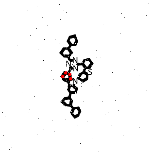 C1=c2sc3ccc(-n4c5ccccc5c5cc(-c6cccc(-c7ccccc7)c6)ccc54)cc3c2=C(c2nc(-c3ccccc3)nc(-c3cccc(-c4ccccc4)c3)n2)CC1